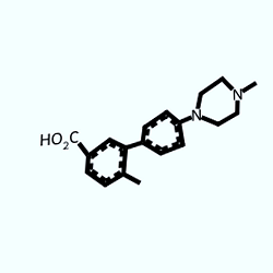 Cc1ccc(C(=O)O)cc1-c1ccc(N2CCN(C)CC2)cc1